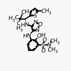 Cc1ccc([C@H](Nc2nonc2Nc2cccc(S(=O)(=O)N(C)C)c2O)C(C)(C)C)s1